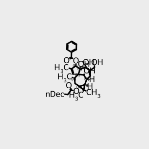 CCCCCCCCCCCC(=O)O[C@@]12C[C@@H](C)[C@]34C=C(C)[C@H](OC(=O)c5ccccc5)[C@@]3(O)[C@H](O)C(CO)=C[C@H](C4O)[C@@H]1C2(C)C